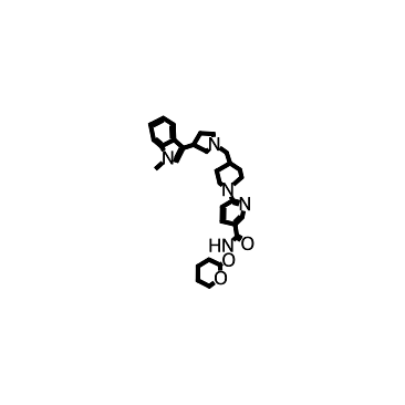 Cn1cc(C2CCN(CC3CCN(c4ccc(C(=O)NOC5CCCCO5)cn4)CC3)C2)c2ccccc21